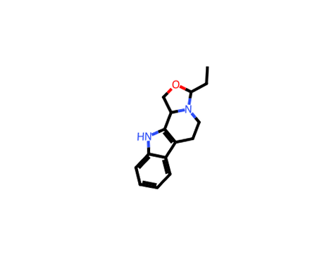 CCC1OCC2c3[nH]c4ccccc4c3CCN12